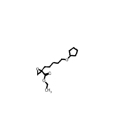 CCOC(=O)C1(CCCCCOC2CCCC2)CO1